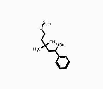 CC(C)(CCO[SiH3])CC(c1ccccc1)C(C)(C)C